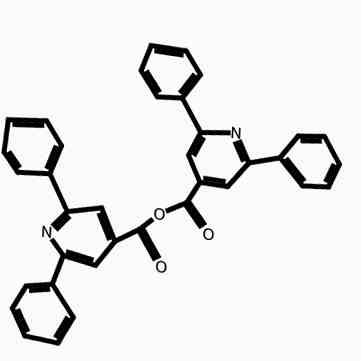 O=C(OC(=O)c1cc(-c2ccccc2)nc(-c2ccccc2)c1)c1cc(-c2ccccc2)nc(-c2ccccc2)c1